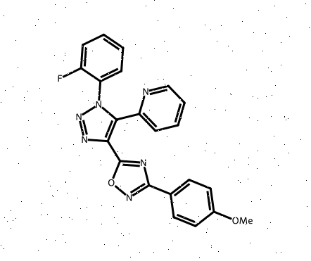 COc1ccc(-c2noc(-c3nnn(-c4ccccc4F)c3-c3ccccn3)n2)cc1